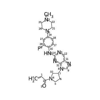 C=CC(=O)N1CCC(n2cnc3cnc(Nc4ccc(N5CCN(C)CC5)cc4F)nc32)C1